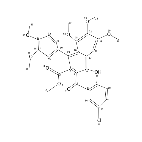 COC(=O)c1c(C(=O)c2cccc(Cl)c2)c(O)c2cc(OC)c(OC)c(OC)c2c1-c1ccc(OC)c(OC)c1